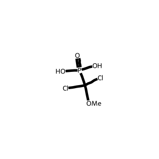 COC(Cl)(Cl)P(=O)(O)O